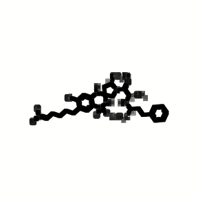 CCOC(=O)[C@H](CCc1ccccc1)N[C@@H](C)C(=O)N1CC2(C[C@H]1C(=O)OCC)Nc1cc(Cl)c(CCCCC=S(=O)=O)cc1S(=O)(=O)N2